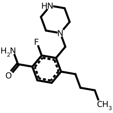 CCCCc1ccc(C(N)=O)c(F)c1CN1CCNCC1